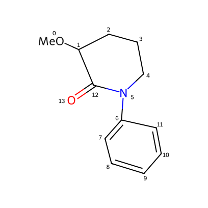 COC1CCCN(c2ccccc2)C1=O